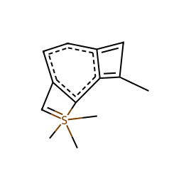 CC1=c2c3c(ccc2=C1)C=S3(C)(C)C